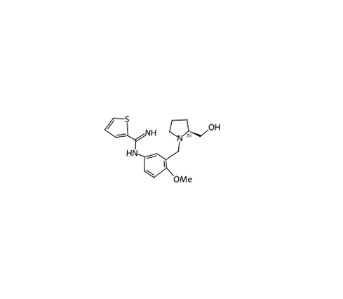 COc1ccc(NC(=N)c2cccs2)cc1CN1CCC[C@H]1CO